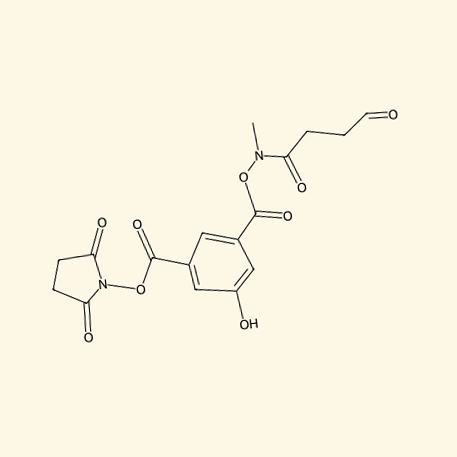 CN(OC(=O)c1cc(O)cc(C(=O)ON2C(=O)CCC2=O)c1)C(=O)CCC=O